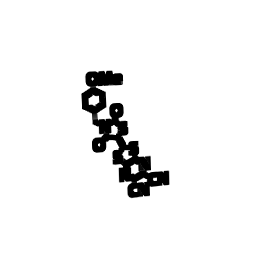 COc1ccc(CN2C(=O)SC(=C3Sc4nc(C#N)c(C#N)nc4S3)C2=O)cc1